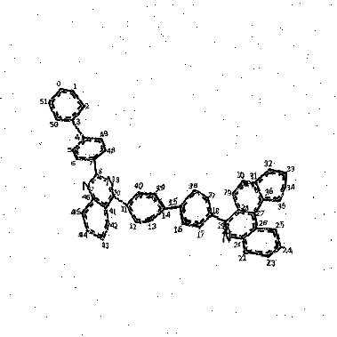 c1ccc(-c2ccc(-c3nc(-c4ccc(-c5ccc(-c6nc7ccccc7c7c6ccc6ccccc67)cc5)cc4)c4ccccc4n3)cc2)cc1